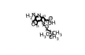 C[Si](C)(C)CCOCn1c(C(=O)O)cc2nc(N)c3c(c21)COC3